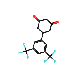 O=C1CC(=O)CC(c2cc(C(F)(F)F)cc(C(F)(F)F)c2)C1